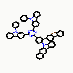 c1ccc(-n2c3ccccc3c3ccc(-c4nc(-c5ccc(-n6c7ccccc7c7cc8ccccc8cc76)c(-c6ccc7c(c6)sc6ccccc67)c5)nc(-c5ccc6c7ccccc7n(-c7ccccc7)c6c5)n4)cc32)cc1